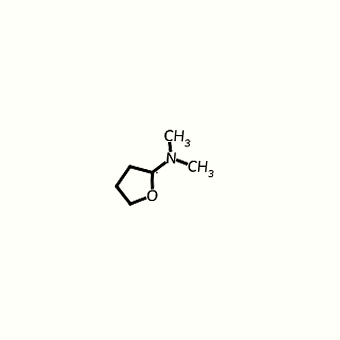 CN(C)[C]1CCCO1